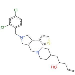 C=CC[C@H](O)CC1CCN(CC2CN(Cc3ccc(Cl)cc3Cl)CC2c2ccsc2)CC1